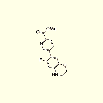 COC(=O)c1ccc(-c2cc3c(cc2F)NCCO3)cn1